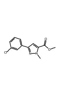 COC(=O)c1cc(-c2cccc(Cl)c2)nn1C